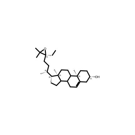 CC[C@@]1(CC[C@@H](C)[C@H]2CCC3C4CC=C5C[C@@H](O)CC[C@]5(C)C4CC[C@@]32C)OC1(C)C